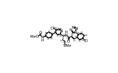 COC(=O)Nc1ccc(-c2cc([C@H](CCSC)NC(=O)/C=C/c3cc(Cl)ccc3-n3cnnn3)nnc2Cl)cc1